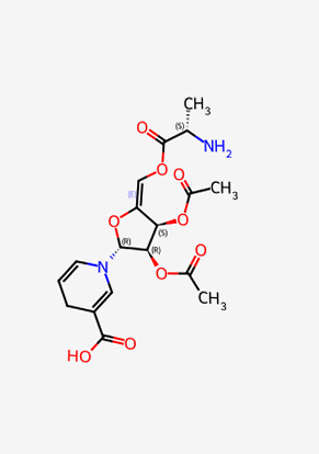 CC(=O)O[C@@H]1[C@H](OC(C)=O)/C(=C\OC(=O)[C@H](C)N)O[C@H]1N1C=CCC(C(=O)O)=C1